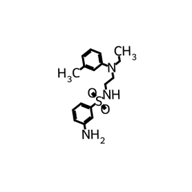 CCN(CCNS(=O)(=O)c1cccc(N)c1)c1cccc(C)c1